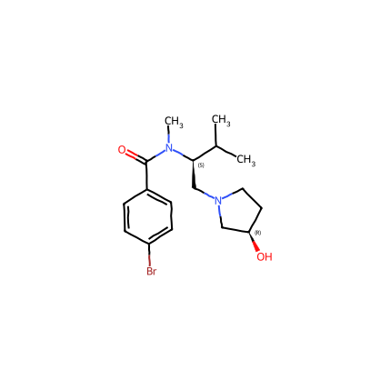 CC(C)[C@@H](CN1CC[C@@H](O)C1)N(C)C(=O)c1ccc(Br)cc1